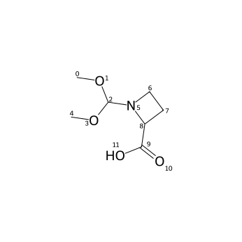 COC(OC)N1CCC1C(=O)O